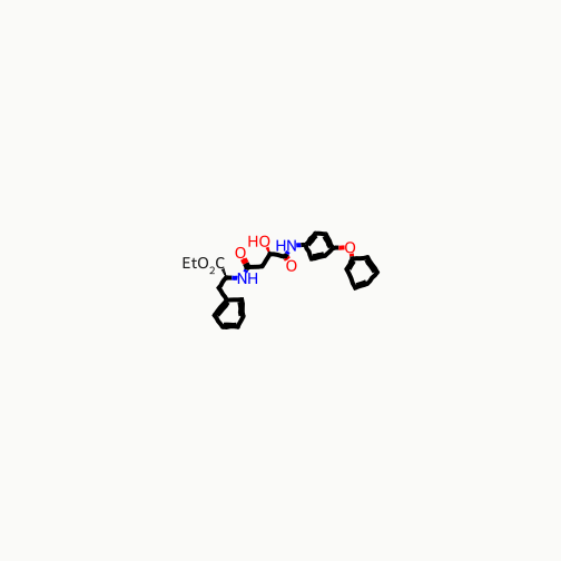 CCOC(=O)[C@H](Cc1ccccc1)NC(=O)C[C@@H](O)C(=O)Nc1ccc(Oc2ccccc2)cc1